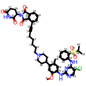 COc1cc(C2CCN(CCCCCC#Cc3cccc4c3C(=O)N(C3CCC(=O)NC3=O)C4=O)CC2)c(C)cc1Nc1ncc(Cl)c(Nc2ccccc2S(=O)(=O)C(C)C)n1